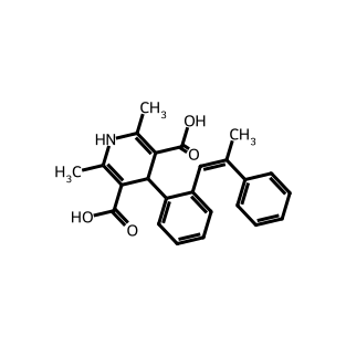 CC1=C(C(=O)O)C(c2ccccc2/C=C(/C)c2ccccc2)C(C(=O)O)=C(C)N1